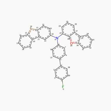 Fc1ccc(-c2ccc(N(c3ccc4sc5ccccc5c4c3)c3cccc4c3oc3ccccc34)cc2)cc1